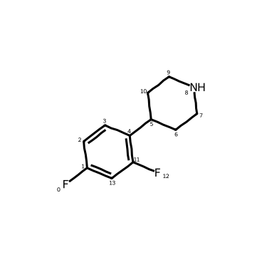 Fc1ccc(C2CCNCC2)c(F)c1